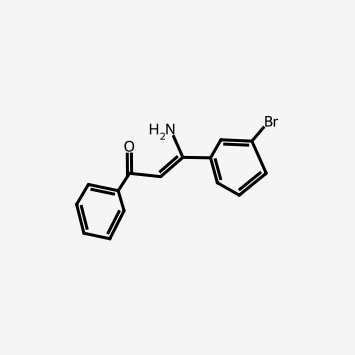 N/C(=C\C(=O)c1ccccc1)c1cccc(Br)c1